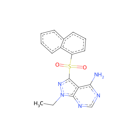 CCn1nc(S(=O)(=O)c2cccc3ccccc23)c2c(N)ncnc21